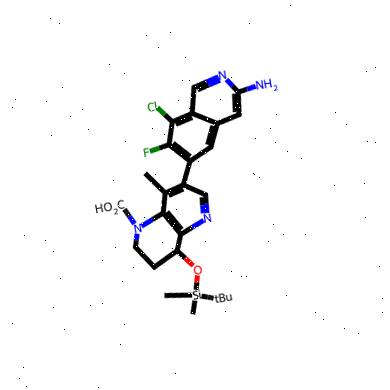 Cc1c(-c2cc3cc(N)ncc3c(Cl)c2F)cnc2c1N(C(=O)O)CCC2O[Si](C)(C)C(C)(C)C